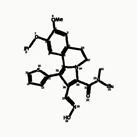 COc1cc2c(cc1OC(C)C)-c1c(-c3cccs3)c(/C=N/O)c(C(=O)N(C)C(C)(C)C)n1CC2